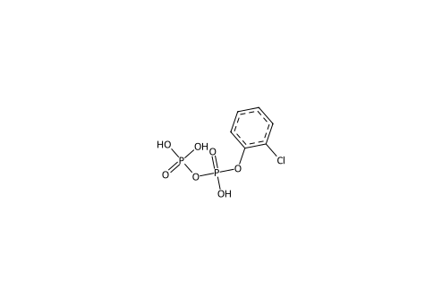 O=P(O)(O)OP(=O)(O)Oc1ccccc1Cl